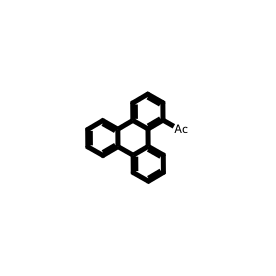 CC(=O)c1cccc2c3ccccc3c3ccccc3c12